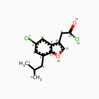 CC(C)Cc1cc(Cl)cc2c(CC(=O)Cl)coc12